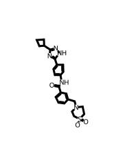 O=C(Nc1ccc(-c2nc(C3CCC3)n[nH]2)cc1)c1cccc(CN2CCS(=O)(=O)CC2)c1